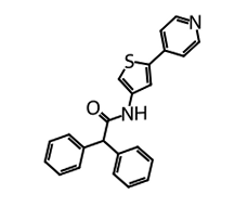 O=C(Nc1csc(-c2ccncc2)c1)C(c1ccccc1)c1ccccc1